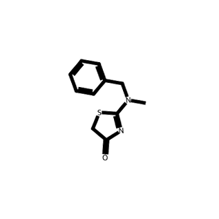 CN(Cc1ccccc1)C1=NC(=O)CS1